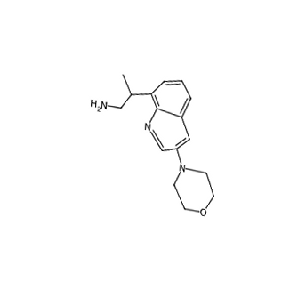 CC(CN)c1cccc2cc(N3CCOCC3)cnc12